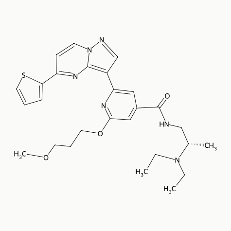 CCN(CC)[C@@H](C)CNC(=O)c1cc(OCCCOC)nc(-c2cnn3ccc(-c4cccs4)nc23)c1